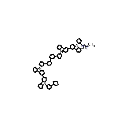 C/C=C\C=C(/C)C1=C(n2c3c(c4c2=CCC(c2ccc5c(c2)c2ccccc2n5C2=CC(c5cccc(C6=CC(c7cccc(-n8c9ccccc9c9cc(C%10=CCC%11C(=C%10)c%10ccccc%10N%11c%10cccc(C%11=CCCC=C%11)c%10)ccc98)c7)=CCC6)c5)=CCC2)C=4)C=CCC3)CCC=C1